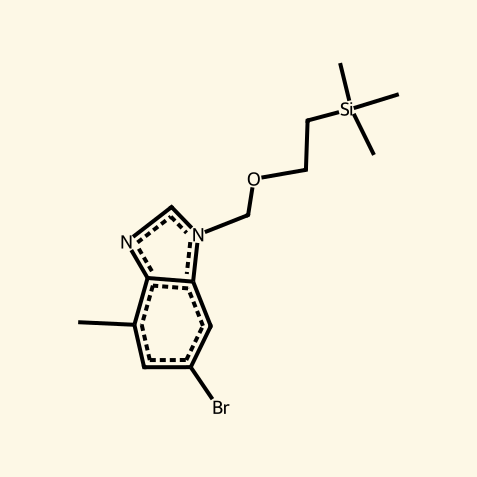 Cc1cc(Br)cc2c1ncn2COCC[Si](C)(C)C